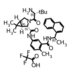 Cc1ccc(NC(=O)[C@@H]2[C@@H]3[C@H](CN2C(=O)[C@H](N)C(C)(C)C)C3(C)C)cc1C(=O)N[C@H](C)c1cccc2ccccc12.O=C(O)C(F)(F)F